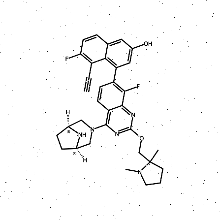 C#Cc1c(F)ccc2cc(O)cc(-c3ccc4c(N5C[C@H]6CC[C@@H](C5)N6)nc(OCC5(C)CCCN5C)nc4c3F)c12